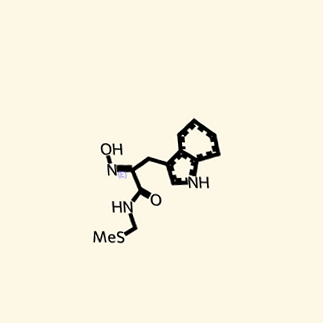 CSCNC(=O)/C(Cc1c[nH]c2ccccc12)=N/O